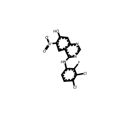 O=[N+]([O-])c1cc2c(Nc3ccc(Cl)c(Cl)c3F)ncnc2cc1O